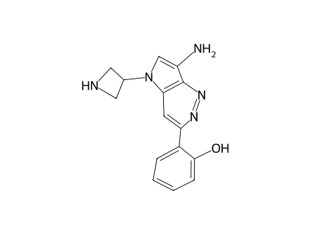 Nc1cn(C2CNC2)c2cc(-c3ccccc3O)nnc12